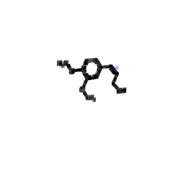 COc1ccc(/C=C\CO)cc1OC